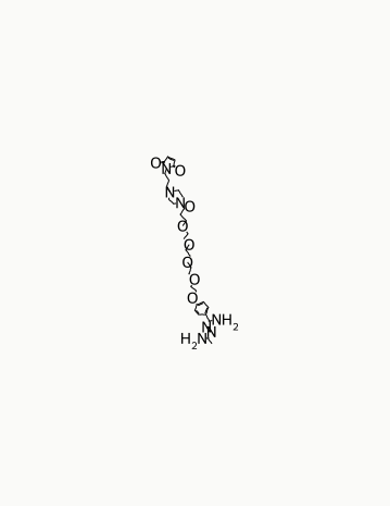 C/C(N)=N/N=C(\N)c1ccc(OCCOCCOCCOCCOCCC(=O)N2CCN(CCCN3C(=O)C=CC3=O)CC2)cc1